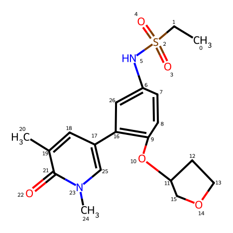 CCS(=O)(=O)Nc1ccc(OC2CCOC2)c(-c2cc(C)c(=O)n(C)c2)c1